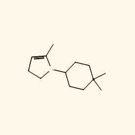 CC1=CCCN1C1CCC(C)(C)CC1